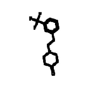 O=C1CCN(CCc2cccc(C(F)(F)F)c2)CC1